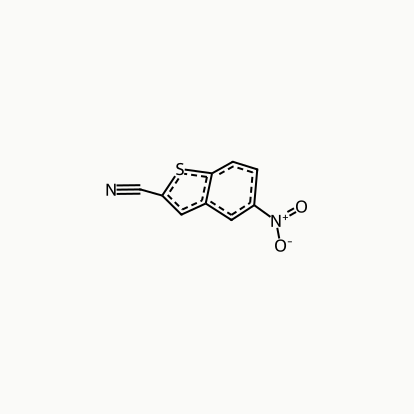 N#Cc1cc2cc([N+](=O)[O-])ccc2s1